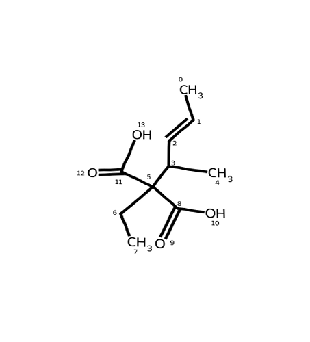 CC=CC(C)C(CC)(C(=O)O)C(=O)O